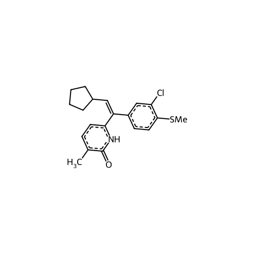 CSc1ccc(C(=CC2CCCC2)c2ccc(C)c(=O)[nH]2)cc1Cl